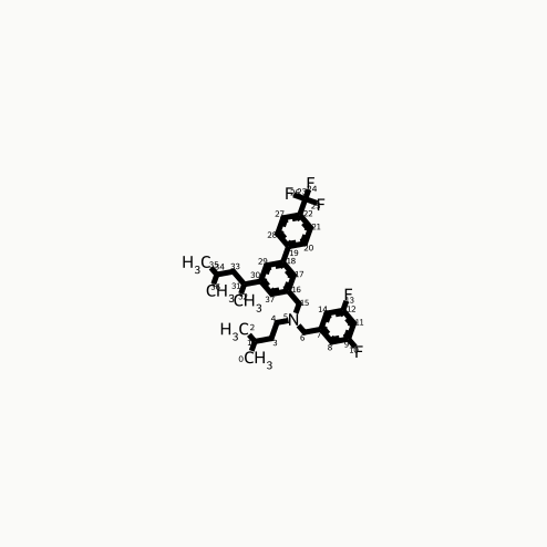 CC(C)CCN(Cc1cc(F)cc(F)c1)Cc1cc(-c2ccc(C(F)(F)F)cc2)cc(C(C)CC(C)C)c1